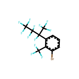 FC(F)(F)c1c(Br)[c]ccc1C(F)(C(F)(F)F)C(F)(F)C(F)(F)F